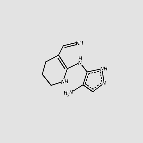 N=CC1=C(Nc2[nH]ncc2N)NCCC1